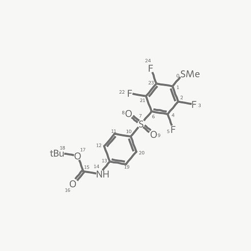 CSc1c(F)c(F)c(S(=O)(=O)c2ccc(NC(=O)OC(C)(C)C)cc2)c(F)c1F